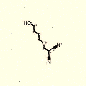 N#CC(C#N)COCCCCO